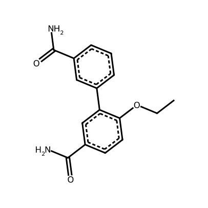 CCOc1ccc(C(N)=O)cc1-c1cccc(C(N)=O)c1